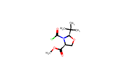 COC(=O)[C@@H]1CO[C@H](C(C)(C)C)N1C(=O)Cl